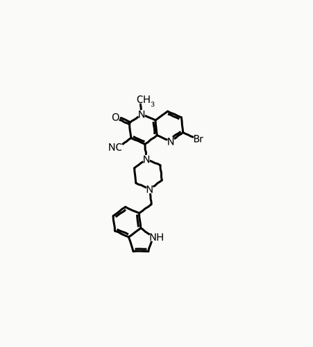 Cn1c(=O)c(C#N)c(N2CCN(Cc3cccc4cc[nH]c34)CC2)c2nc(Br)ccc21